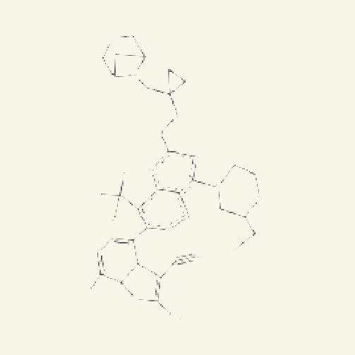 CCC1CN(c2nc(OCC3(CN4C5COCC4C5)CC3)nc3c(C(F)(F)F)c(C4=CC=C(F)C5SC(N)=C(C#N)C45)ncc23)CCN1